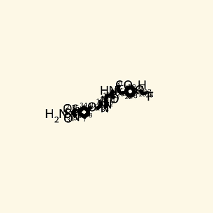 NS(=O)(=O)c1nc2ccc(OCc3cn(CC(=O)NC(Cc4ccc(OCCF)cc4)C(=O)O)nn3)cc2s1